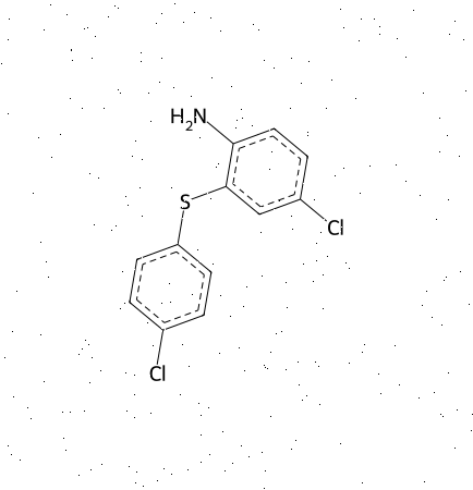 Nc1ccc(Cl)cc1Sc1ccc(Cl)cc1